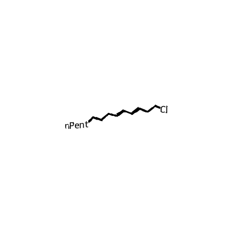 CCCCCCCCC=CC=CCCCl